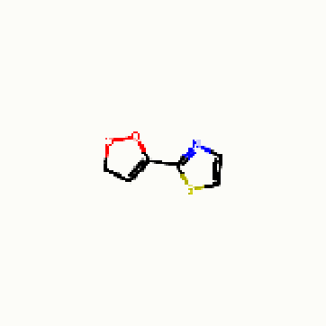 C1=C(c2nccs2)OOC1